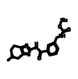 CN1CCc2nc(NC(=O)c3cccc(CNC(=O)OC(C)(C)C)c3)sc2C1